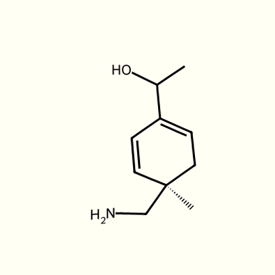 CC(O)C1=CC[C@@](C)(CN)C=C1